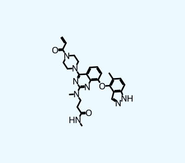 C=CC(=O)N1CCN(c2nc(N(C)CCC(=O)NC)nc3c(Oc4c(C)ccc5[nH]ncc45)cccc23)CC1